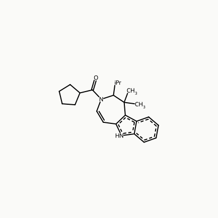 CC(C)C1N(C(=O)C2CCCC2)C=Cc2[nH]c3ccccc3c2C1(C)C